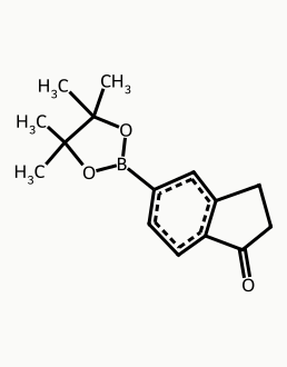 CC1(C)OB(c2ccc3c(c2)CCC3=O)OC1(C)C